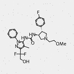 COCCN1C[C@@H](NC(=O)Nc2c(C)c(C(F)(F)CO)nn2-c2ccccc2)[C@H](c2ccc(F)cc2)C1